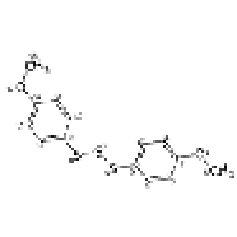 COc1ccc(SSSc2ccc(OC)cc2)cc1